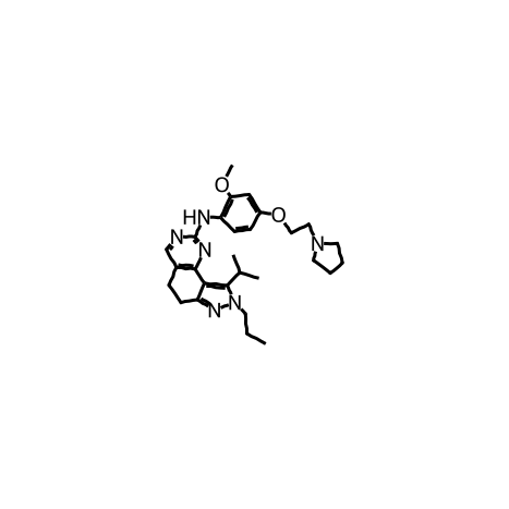 CCCn1nc2c(c1C(C)C)-c1nc(Nc3ccc(OCCN4CCCC4)cc3OC)ncc1CC2